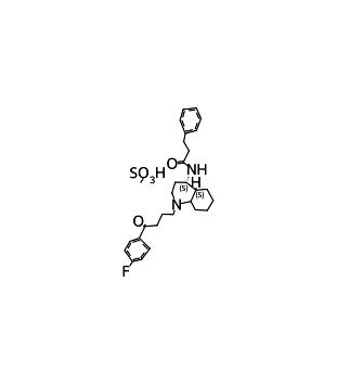 CS(=O)(=O)O.O=C(CCc1ccccc1)N[C@H]1CCN(CCCC(=O)c2ccc(F)cc2)C2CCCC[C@H]21